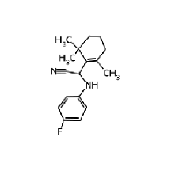 CC1=C(C(C#N)Nc2ccc(F)cc2)C(C)(C)CCC1